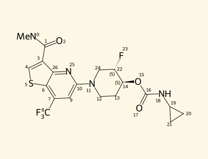 CNC(=O)c1csc2c(C(F)(F)F)cc(N3CC[C@H](OC(=O)NC4CC4)[C@@H](F)C3)nc12